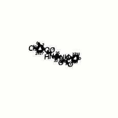 Cc1cc(OCC(=O)NC23CC(NC(=O)[C@H]4COc5ccccc5O4)(C2)C3)ccc1Cl